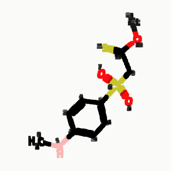 CBc1ccc(S(=O)(=O)CC(=S)OCC)cc1